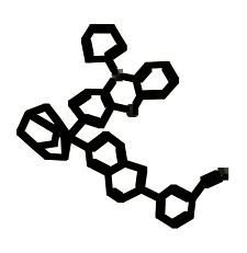 N#Cc1cccc(-c2ccc3cc(C4(c5ccc6c(c5)Oc5ccccc5N6c5ccccc5)C5CC6CC(C5)CC4C6)ccc3c2)c1